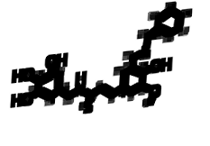 COc1cc(/C=C/C(=S)NCc2cc(O)c(O)c(O)c2)cc(CSCc2ccccc2)c1O